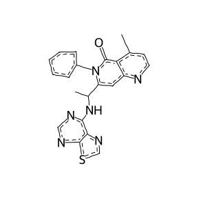 Cc1ccnc2cc(C(C)Nc3ncnc4scnc34)n(-c3ccccc3)c(=O)c12